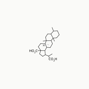 CC1CCCC2(C)C1CCC1(C)C2CCC2C3C(C(C)C(=O)O)CCC3(C(=O)O)CC[C@]21C